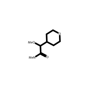 CNC(=O)C(OC)C1CCOCC1